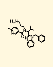 Cc1ccc(C(=O)N(CCCN)C(c2nc3ccccc3n2Cc2ccccc2)C(C)C)cn1